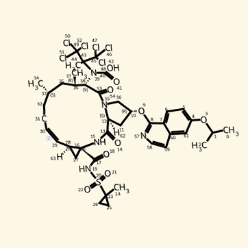 CC(C)Oc1ccc2c(O[C@@H]3C[C@H]4C(=O)N[C@]5(C(=O)NS(=O)(=O)C6(C)CC6)C[C@H]5/C=C\CC[C@H](C)C[C@@H](C)[C@H](N(C(=O)O)C(C)(C(Cl)(Cl)Cl)C(Cl)(Cl)Cl)C(=O)N4C3)nccc2c1